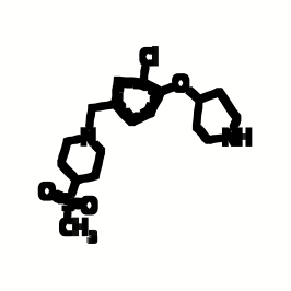 CS(=O)(=O)C1CCN(Cc2ccc(OC3CCNCC3)c(Cl)c2)CC1